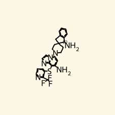 Nc1cc(N2CCC3(CC2)Cc2ccccc2[C@H]3N)n2ccnc2c1Sc1cccnc1C(F)(F)F